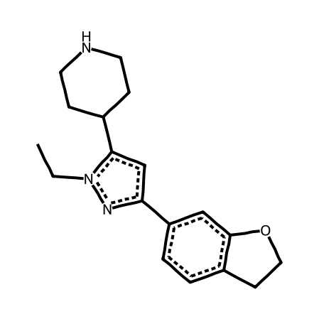 CCn1nc(-c2ccc3c(c2)OCC3)cc1C1CCNCC1